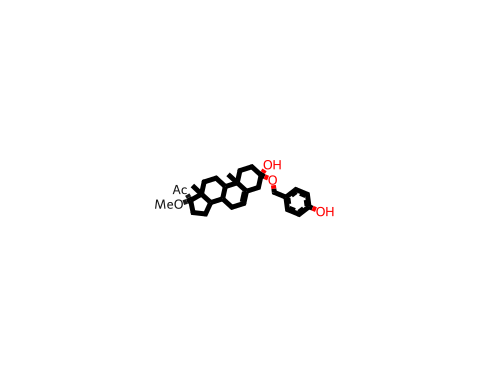 COC1(C(C)=O)CCC2C3CC=C4CC(O)(OCc5ccc(O)cc5)CCC4(C)C3CCC21C